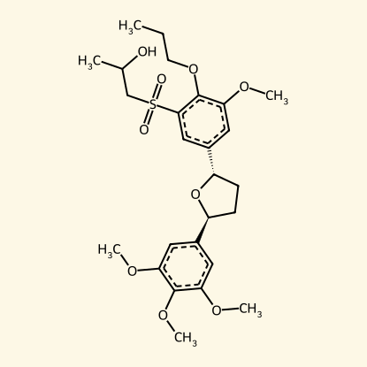 CCCOc1c(OC)cc([C@@H]2CC[C@@H](c3cc(OC)c(OC)c(OC)c3)O2)cc1S(=O)(=O)CC(C)O